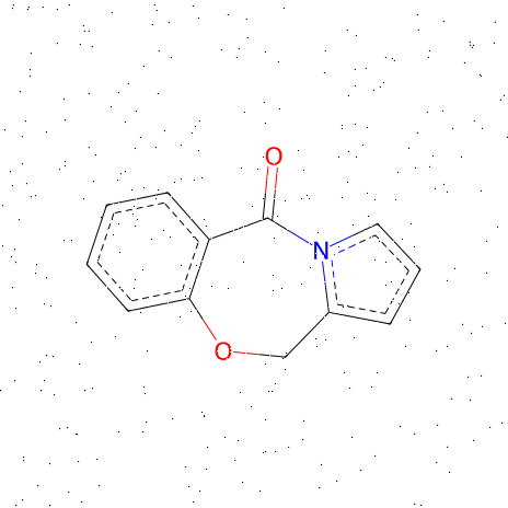 O=C1c2ccccc2OCc2cccn21